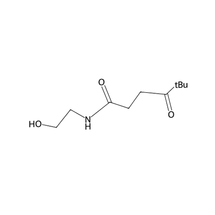 CC(C)(C)C(=O)CCC(=O)NCCO